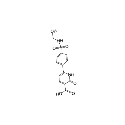 O=C(O)c1ccc(-c2ccc(S(=O)(=O)NCO)cc2)[nH]c1=O